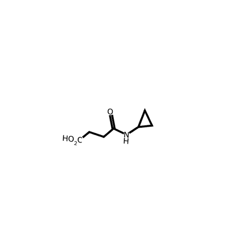 O=C(O)CCC(=O)NC1CC1